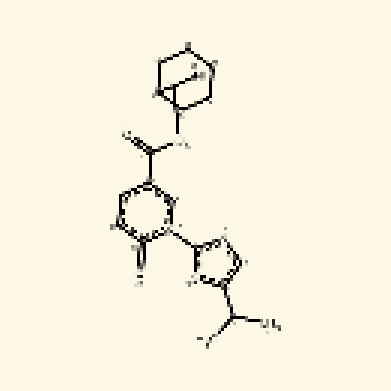 CC(C)c1cnc(-n2cc(C(=O)OC3NC4CCC3CC4)ccc2=O)s1